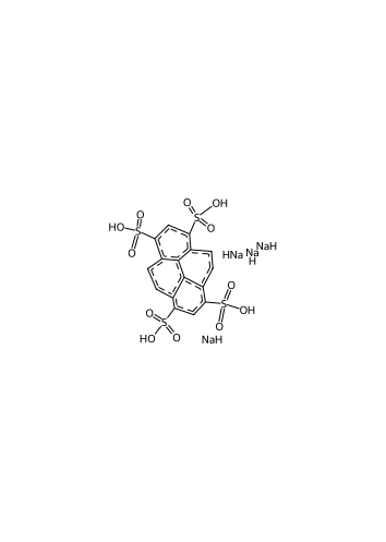 O=S(=O)(O)c1cc(S(=O)(=O)O)c2ccc3c(S(=O)(=O)O)cc(S(=O)(=O)O)c4ccc1c2c43.[NaH].[NaH].[NaH].[NaH]